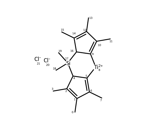 CC1=C(C)C2[C](=C1C)[Ti+2][C]1=C(C)C(C)=C(C)C1[Si]2(C)C.[Cl-].[Cl-]